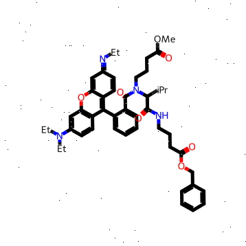 CC/N=c1\ccc2c(-c3ccccc3C(=O)N(CCCC(=O)OC)C(C(=O)NCCCC(=O)OCc3ccccc3)C(C)C)c3ccc(N(CC)CC)cc3oc-2c1